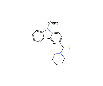 CCCCCn1c2ccccc2c2cc(C(=S)N3CCCCC3)ccc21